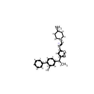 CC(c1ccc(-c2ccccc2)c(F)c1)c1cc(/N=[C]/N2CCC(N)CC2)on1